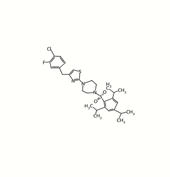 CC(C)c1cc(C(C)C)c(S(=O)(=O)N2CCN(c3nc(Cc4ccc(Cl)c(F)c4)cs3)CC2)c(C(C)C)c1